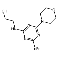 CCCc1nc(NCCO)nc(N2CCOCC2)n1